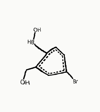 OBc1ccc(Br)cc1CO